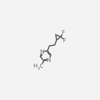 Cc1cnc(CCC2CC2(F)F)cn1